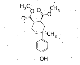 COC(=O)[C@H]1C[C@@](C)(c2ccc(O)cc2)CC[C@H]1C(=O)OC